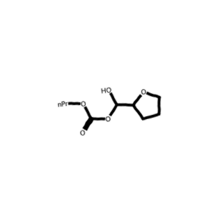 CCCOC(=O)OC(O)C1CCCO1